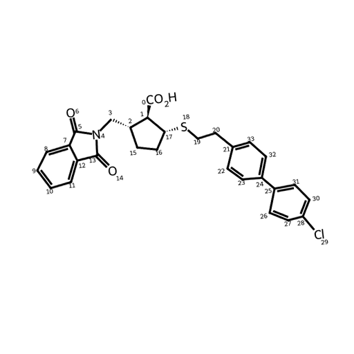 O=C(O)[C@@H]1[C@@H](CN2C(=O)c3ccccc3C2=O)CC[C@H]1SCCc1ccc(-c2ccc(Cl)cc2)cc1